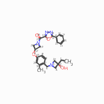 CCC1(O)CN(Cc2ccc(OC3CN(C(=O)c4nnc(-c5ccccc5)o4)C3)cc2C)C1